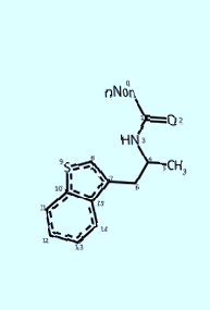 CCCCCCCCCC(=O)NC(C)Cc1csc2ccccc12